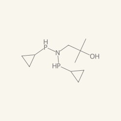 CC(C)(O)CN(PC1CC1)PC1CC1